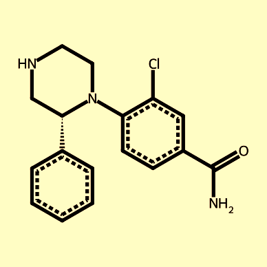 NC(=O)c1ccc(N2CCNC[C@H]2c2ccccc2)c(Cl)c1